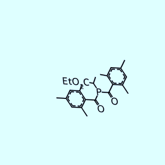 CCOC(=O)C(C)P(C(=O)c1c(C)cc(C)cc1C)C(=O)c1c(C)cc(C)cc1C